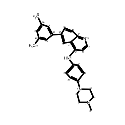 CN1CCN(c2ccc(Nc3ccnc4ccc(-c5cc(C(F)(F)F)cc(C(F)(F)F)c5)cc34)cc2)CC1